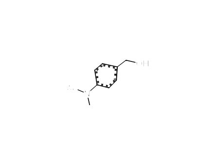 CC(=O)N(C)c1ccc(CO)cc1